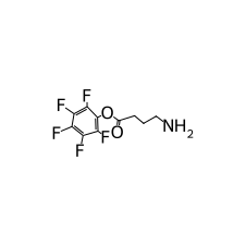 NCCCC(=O)Oc1c(F)c(F)c(F)c(F)c1F